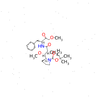 COCC(=O)[C@H](Cc1ccccc1)NC(=O)[C@H](C)[C@@H](OC)[C@@H]1CCCN1C(=O)OC(C)(C)C